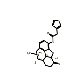 CN1CC[C@]23c4c5ccc(OC(=O)Cc6ccsc6)c4O[C@H]2C(=O)CCC3[C@H]1C5